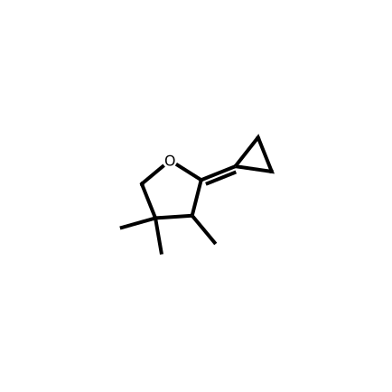 CC1C(=C2CC2)OCC1(C)C